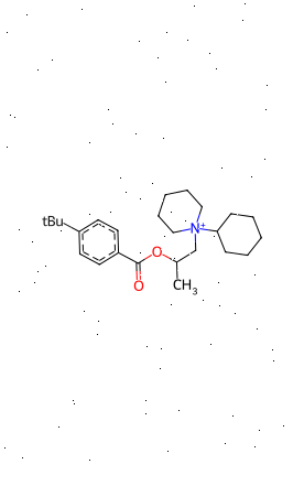 CC(C[N+]1(C2CCCCC2)CCCCC1)OC(=O)c1ccc(C(C)(C)C)cc1